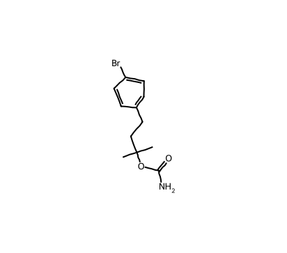 CC(C)(CCc1ccc(Br)cc1)OC(N)=O